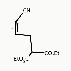 CCOC(=O)C(C/C=C\C#N)C(=O)OCC